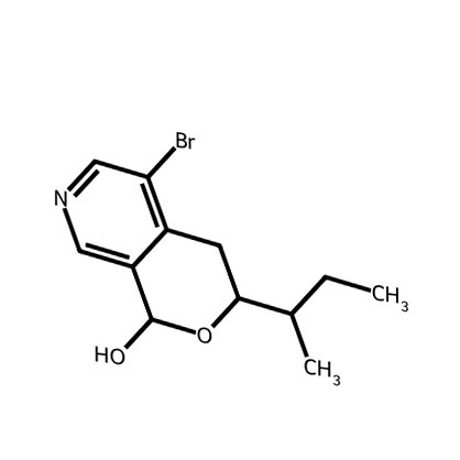 CCC(C)C1Cc2c(Br)cncc2C(O)O1